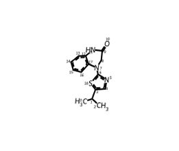 CC(C)c1cnc(N2CC(=O)Nc3ccccc32)s1